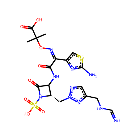 CC(C)(O/N=C(\C(=O)NC1C(=O)N(S(=O)(=O)O)[C@H]1Cn1ncc(CNC=N)n1)c1csc(N)n1)C(=O)O